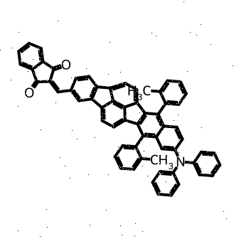 Cc1ccccc1-c1c2c(c(-c3ccccc3C)c3cc(N(c4ccccc4)c4ccccc4)ccc13)-c1ccc3c4c(ccc-2c14)-c1ccc(C=C2C(=O)c4ccccc4C2=O)cc1-3